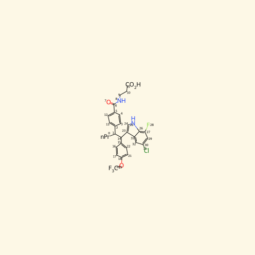 CCCC(c1ccc(C(=O)NCCC(=O)O)cc1)C(c1ccc(OC(F)(F)F)cc1)c1c[nH]c2c(F)cc(Cl)cc12